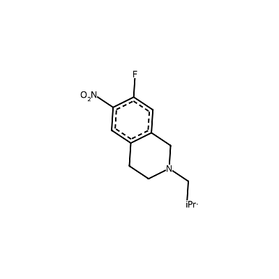 C[C](C)CN1CCc2cc([N+](=O)[O-])c(F)cc2C1